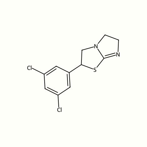 Clc1cc(Cl)cc(C2CN3CCN=C3S2)c1